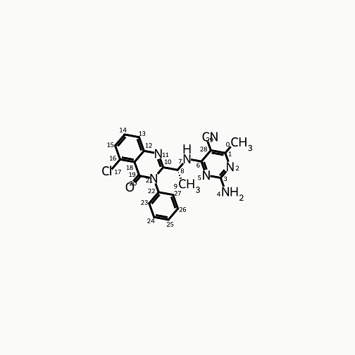 Cc1nc(N)nc(N[C@H](C)c2nc3cccc(Cl)c3c(=O)n2-c2ccccc2)c1C#N